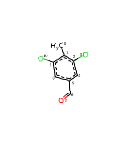 Cc1c(Cl)cc(C=O)cc1Cl